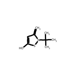 C=C1C=C(O)SN1C(C)(C)C